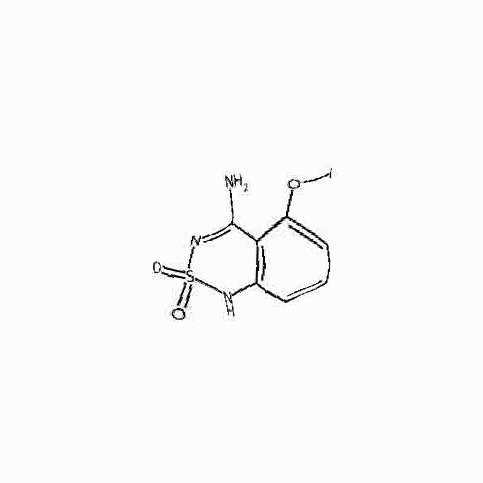 NC1=NS(=O)(=O)Nc2cccc(OI)c21